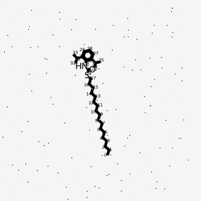 CCCCCCCCCCCCCCCCCCSC(=O)Nc1c(C(C)C)cccc1C(C)C